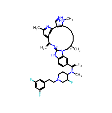 C=C1/N=C2\Nc3ccc(C(=C)N(C)C4CCN(CCc5cc(F)cc(F)c5)CC4F)cc3N2C[C@H](C)CCCC/C(NC)=C(/C=N)c2cc1cc(C)n2